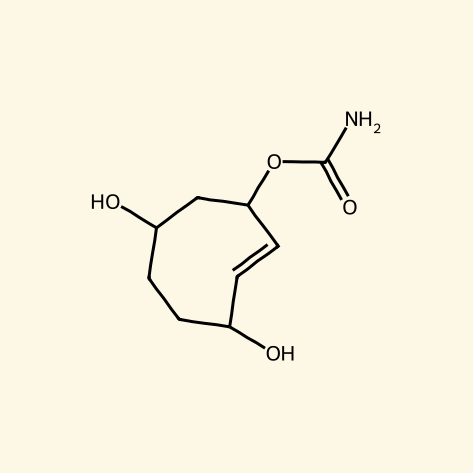 NC(=O)OC1/C=C/C(O)CCC(O)C1